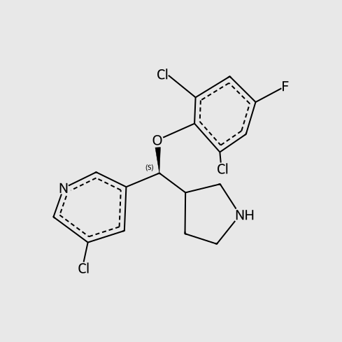 Fc1cc(Cl)c(O[C@H](c2cncc(Cl)c2)C2CCNC2)c(Cl)c1